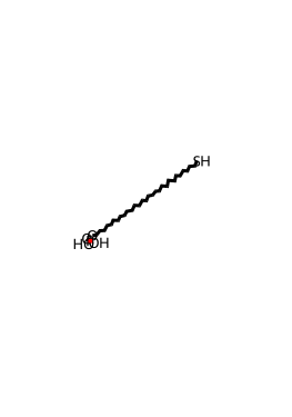 O=P(O)(O)OCCCCCCCCCCCCCCCCCCCCCCCCCCCCCS